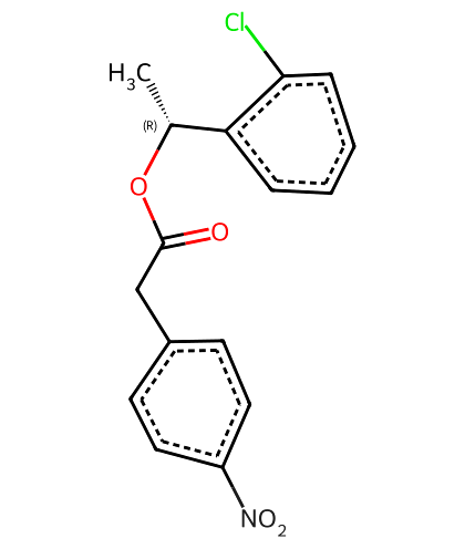 C[C@@H](OC(=O)Cc1ccc([N+](=O)[O-])cc1)c1ccccc1Cl